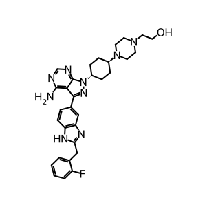 Nc1ncnc2c1c(-c1ccc3[nH]c(Cc4ccccc4F)nc3c1)nn2[C@H]1CC[C@H](N2CCN(CCO)CC2)CC1